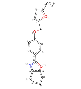 O=C(O)c1ccc(COc2ccc(-c3nc4ccccc4o3)cc2)o1